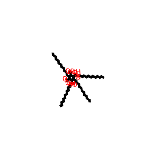 CCCCCCCCCCCCOC(=O)c1c(CCCCCCCCCCCC)c(C(=O)OCCCCCCCCCCCC)c(C(=O)O)c(CCCCCCCCCCCC)c1C(=O)O